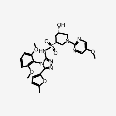 COc1cnc(N2C[C@@H](O)C[C@@H](S(=O)(=O)Nc3nnc(-c4ccc(C)o4)n3-c3c(OC)cccc3OC)C2)nc1